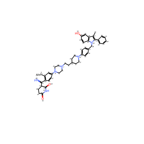 CNc1cc(N2CCN(CCC3CCN(c4ccc(Cn5c(-c6ccccc6)c(C)c6cc(O)ccc65)cc4)CC3)CC2)ccc1C(=N)C1CCC(=O)NC1=O